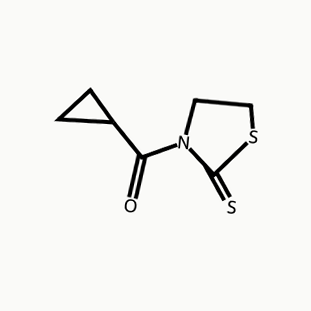 O=C(C1CC1)N1CCSC1=S